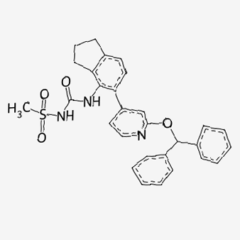 CS(=O)(=O)NC(=O)Nc1c(-c2ccnc(OC(c3ccccc3)c3ccccc3)c2)ccc2c1CCC2